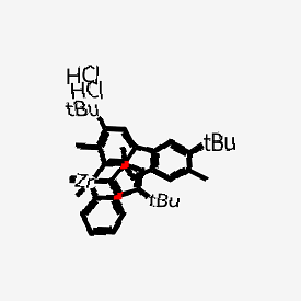 Cl.Cl.[CH2]=[Zr]([CH3])([C]1=CC(C(C)(C)C)=CC1C)([c]1ccccc1)[c]1c(C)c(C(C)(C)C)cc2c1Cc1cc(C)c(C(C)(C)C)cc1-2